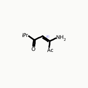 CC(=O)/C(N)=C\C(=O)C(C)C